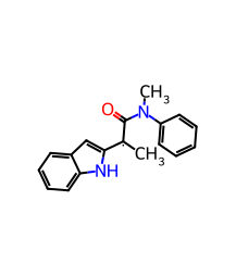 C[C](C(=O)N(C)c1ccccc1)c1cc2ccccc2[nH]1